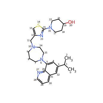 CC(C)c1cc(N2CCCN(Cc3csc(N4CCC(O)CC4)n3)CC2)c2ncccc2c1